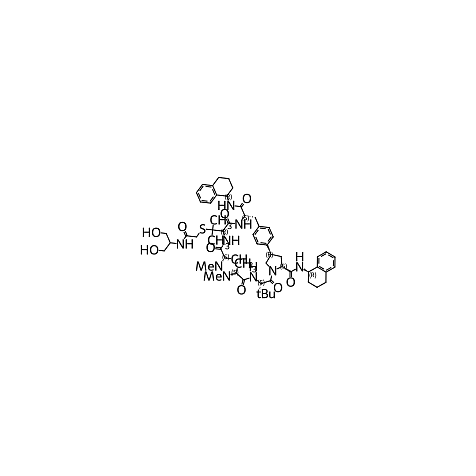 CN[C@@H](C)C(=O)N[C@H](C(=O)N1C[C@@H](c2ccc(C[C@H](NC(=O)[C@@H](NC(=O)[C@H](C)NC)C(C)(C)SCC(=O)NC(CO)CO)C(=O)N[C@@H]3CCCc4ccccc43)cc2)C[C@H]1C(=O)N[C@@H]1CCCc2ccccc21)C(C)(C)C